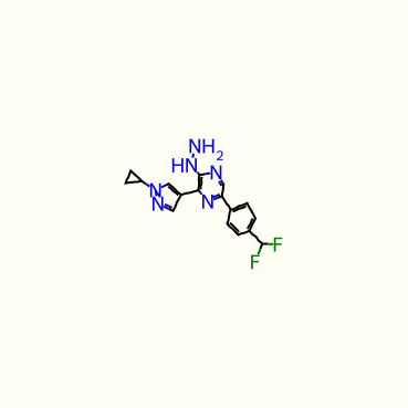 NNc1ncc(-c2ccc(C(F)F)cc2)nc1-c1cnn(C2CC2)c1